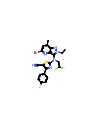 CCn1nc2c(C)cc(Br)nc2c1N(CC(F)F)c1nc(-c2ccc(F)cc2)c(C#N)s1